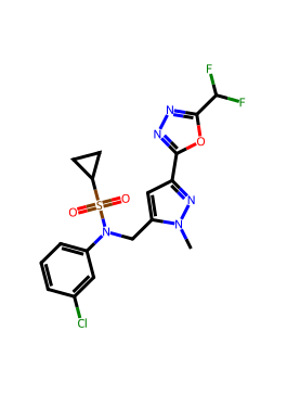 Cn1nc(-c2nnc(C(F)F)o2)cc1CN(c1cccc(Cl)c1)S(=O)(=O)C1CC1